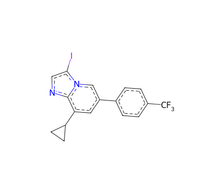 FC(F)(F)c1ccc(-c2cc(C3CC3)c3ncc(I)n3c2)cc1